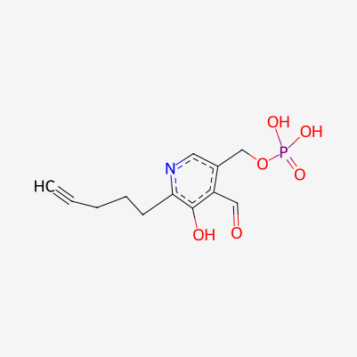 C#CCCCc1ncc(COP(=O)(O)O)c(C=O)c1O